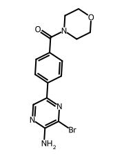 Nc1ncc(-c2ccc(C(=O)N3CCOCC3)cc2)nc1Br